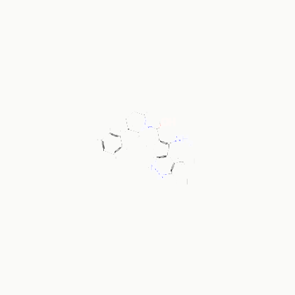 Cc1nnc2sc(C(O)N3CCCC(c4ccccc4)C3)c(N)c2c1C